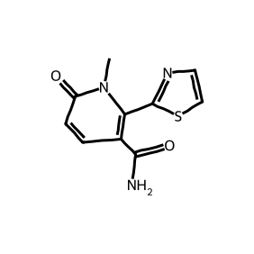 Cn1c(-c2nccs2)c(C(N)=O)ccc1=O